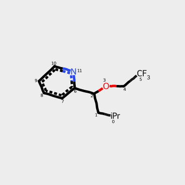 CC(C)CC(OCC(F)(F)F)c1ccccn1